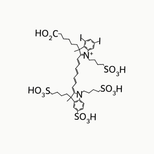 CC1(CCCCCC(=O)O)C(/C=C/C=C/C=C/C=C2\N(CCCCS(=O)(=O)O)c3ccc(S(=O)(=O)O)cc3C2(C)CCCCS(=O)(=O)O)=[N+](CCCCS(=O)(=O)O)c2cc(I)cc(I)c21